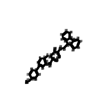 O=C(N[C@@H](Cc1ccc(-c2ccc(Br)cc2)cc1)C(=O)O)OCC1c2ccccc2-c2ccccc21